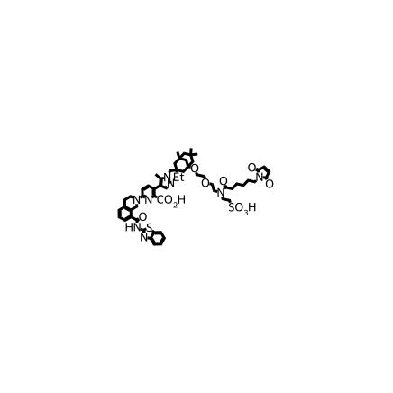 CCC1(Cn2ncc(-c3ccc(N4CCc5cccc(C(=O)Nc6nc7ccccc7s6)c5C4)nc3C(=O)O)c2C)CC2(C)CC(C)(C)CC(OCCOCCN(CCS(=O)(=O)O)C(=O)CCCCCN3C(=O)C=CC3=O)(C2)C1